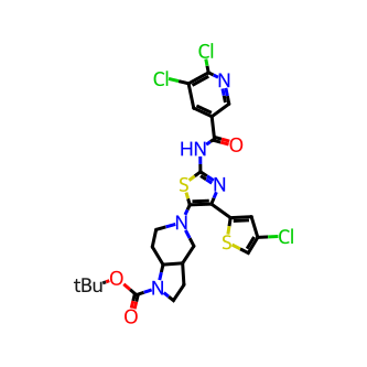 CC(C)(C)OC(=O)N1CCC2CN(c3sc(NC(=O)c4cnc(Cl)c(Cl)c4)nc3-c3cc(Cl)cs3)CCC21